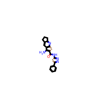 Nc1c(C(=O)Nc2nnc(-c3ccccc3)s2)sc2nc3c(cc12)CCC3